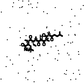 CC[C@H](C(=O)N(C)[C@@H](CC(C)C)C(N)=O)N(C)C(=O)NC(=O)N(C)C(=O)N(C)C(=O)CCC(C)C